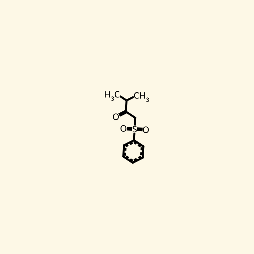 CC(C)C(=O)CS(=O)(=O)c1ccccc1